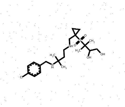 CC(C)(CCNCC1(S(=O)(=O)C(C)(C)C(O)CO)CC1)NCc1ccc(Cl)cc1